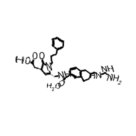 N=C(N)NCC1CCc2cc(C(=O)NC[C@@H]3C[C@@H](CC(=O)O)C(=O)N3CCCc3ccccc3)ccc2C1.O